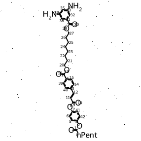 CCCCCC(=O)Oc1ccc(OC(=O)/C=C/c2ccc(C(=O)OCCCCCCCCOC(=O)c3cc(N)cc(N)c3)cc2)cc1